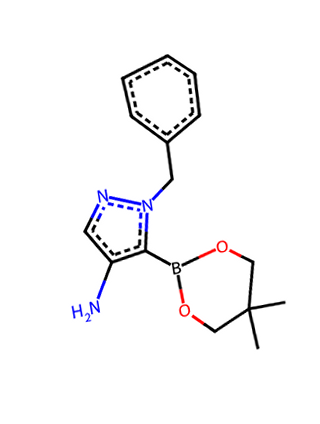 CC1(C)COB(c2c(N)cnn2Cc2ccccc2)OC1